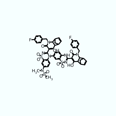 CN(c1ccc2c(c1)S(=O)(=O)N=C(C1=C(O)C3C4C=CC(C4)C3N(Cc3ccc(F)cc3)C1=O)N2c1ccc2c(c1)S(=O)(=O)N=C(C1=C(O)C3C4C=CC(C4)C3N(Cc3ccc(F)cc3)C1=O)N2)S(C)(=O)=O